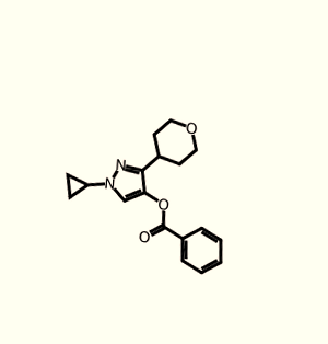 O=C(Oc1cn(C2CC2)nc1C1CCOCC1)c1ccccc1